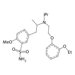 CCOc1ccccc1OCCN(C(C)C)C(C)Cc1ccc(OC)c(S(N)(=O)=O)c1